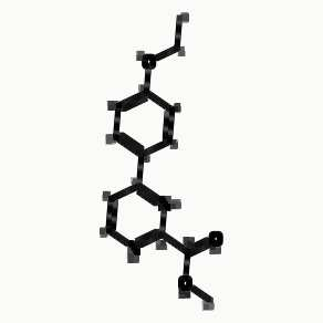 CCOc1ccc(-c2ccnc(C(=O)OC)n2)cc1